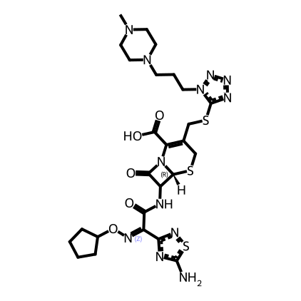 CN1CCN(CCCn2nnnc2SCC2=C(C(=O)O)N3C(=O)C(NC(=O)/C(=N\OC4CCCC4)c4nsc(N)n4)[C@H]3SC2)CC1